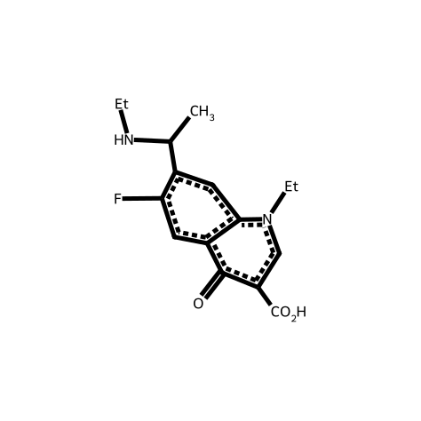 CCNC(C)c1cc2c(cc1F)c(=O)c(C(=O)O)cn2CC